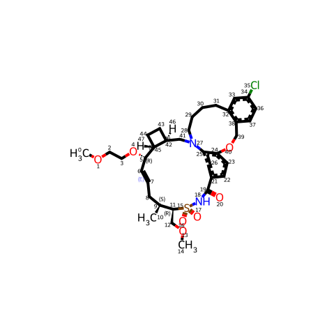 COCCO[C@H]1/C=C/C[C@H](C)[C@H](COC)S(=O)(=O)NC(=O)c2ccc3c(c2)N(CCCCc2cc(Cl)ccc2CO3)C[C@@H]2CC[C@H]21